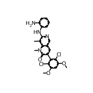 COc1cc(OC)c(Cl)c(-c2cc3cnc(Nc4ccccc4N)c(C)c3n(C)c2=O)c1Cl